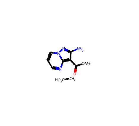 CC(=O)O.COC(=O)c1c(N)nn2cccnc12